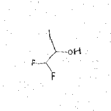 OC(I)C(F)F